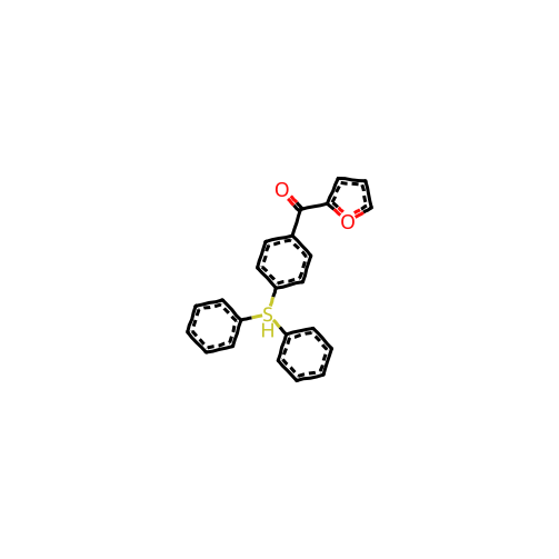 O=C(c1ccc([SH](c2ccccc2)c2ccccc2)cc1)c1ccco1